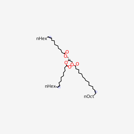 CCCCCC/C=C\CCCCCCCC(=O)OC[C@H](COC(=O)CCCCCCCCCCC/C=C\CCCCCCCC)OC(=O)CCCCCCC/C=C\CCCCCC